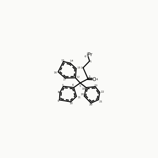 CC(C)CCC(=O)C(c1ccccc1)(c1ccccc1)c1ccccc1